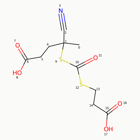 CC(C#N)(CCC(=O)O)SC(=O)SCCC(=O)O